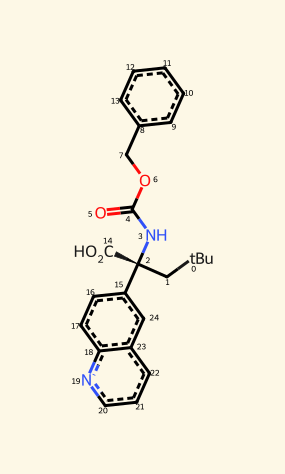 CC(C)(C)C[C@](NC(=O)OCc1ccccc1)(C(=O)O)c1ccc2ncccc2c1